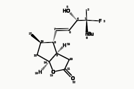 CCCC[C@@](C)(F)[C@@H](O)C=C[C@@H]1[C@H]2CC(=O)O[C@H]2C[C@H]1C